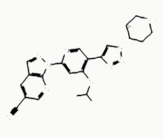 CC(C)Nc1cc(-n2ncc3cc(C#N)cnc32)ncc1-c1cn([C@H]2CCNC[C@H]2F)nn1